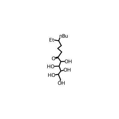 CCCCC(CC)CCCC(=O)C(O)C(O)C(O)C(O)CO